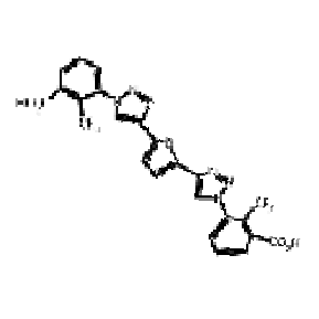 O=C(O)c1cccc(-n2cc(-c3ccc(-c4cn(-c5cccc(C(=O)O)c5C(F)(F)F)nn4)o3)nn2)c1C(F)(F)F